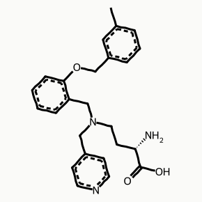 Cc1cccc(COc2ccccc2CN(CC[C@H](N)C(=O)O)Cc2ccncc2)c1